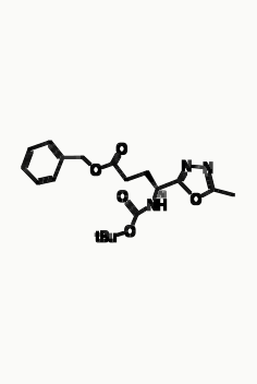 Cc1nnc([C@H](CCC(=O)OCc2ccccc2)NC(=O)OC(C)(C)C)o1